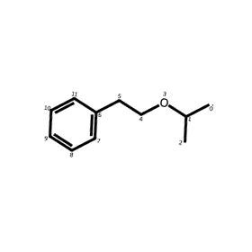 [CH2]C(C)OCCc1ccccc1